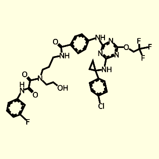 O=C(Nc1cccc(F)c1)C(=O)N(CCO)CCCNC(=O)c1ccc(Nc2nc(NC3(c4ccc(Cl)cc4)CC3)nc(OCC(F)(F)F)n2)cc1